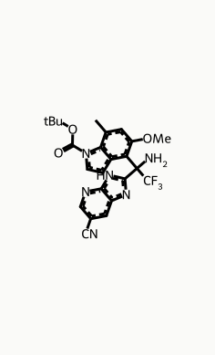 COc1cc(C)c2c(ccn2C(=O)OC(C)(C)C)c1C(N)(c1nc2cc(C#N)cnc2[nH]1)C(F)(F)F